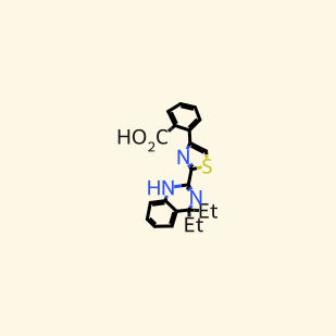 CCC1(CC)N=C(c2nc(-c3ccccc3C(=O)O)cs2)Nc2ccccc21